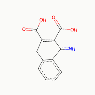 N=C1C(C(=O)O)=C(C(=O)O)Cc2ccccc21